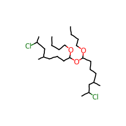 CCCCOC(CCCC(C)CC(C)Cl)OC(CCCC(C)CC(C)Cl)OCCCC